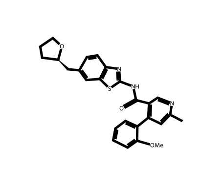 COc1ccccc1-c1cc(C)ncc1C(=O)Nc1nc2ccc(C[C@H]3CCCO3)cc2s1